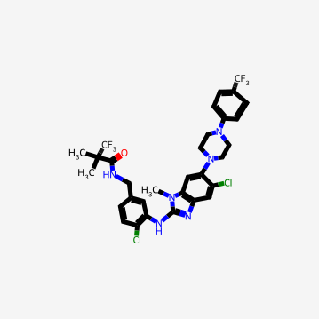 Cn1c(Nc2cc(CNC(=O)C(C)(C)C(F)(F)F)ccc2Cl)nc2cc(Cl)c(N3CCN(c4ccc(C(F)(F)F)cc4)CC3)cc21